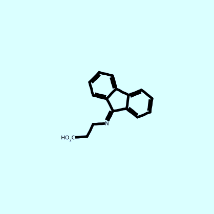 O=C(O)CCN=C1c2ccccc2-c2ccccc21